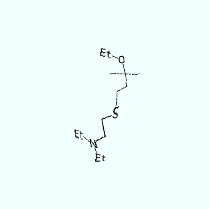 CCOC(C)(C)CCSCCN(CC)CC